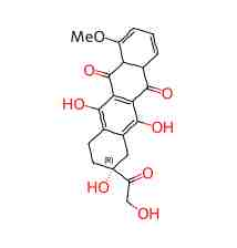 COC1=CC=CC2C(=O)c3c(O)c4c(c(O)c3C(=O)C12)CC[C@](O)(C(=O)CO)C4